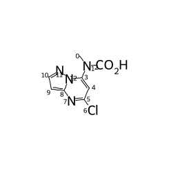 CN(C(=O)O)c1cc(Cl)nc2ccnn12